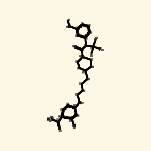 COc1cccc(C(C(=O)N2CCC(CCCCOc3ccc(C(N)=O)c(Cl)c3)CC2)C(F)(F)F)c1